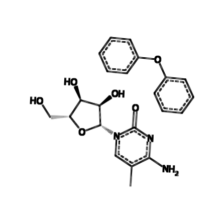 Cc1cn([C@@H]2O[C@H](CO)[C@@H](O)[C@H]2O)c(=O)nc1N.c1ccc(Oc2ccccc2)cc1